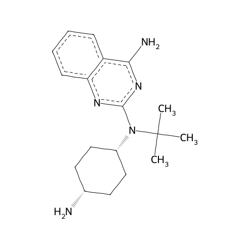 CC(C)(C)N(c1nc(N)c2ccccc2n1)[C@H]1CC[C@@H](N)CC1